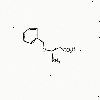 C[C@H](CC(=O)O)OCc1ccccc1